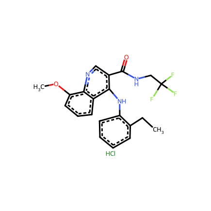 CCc1ccccc1Nc1c(C(=O)NCC(F)(F)F)cnc2c(OC)cccc12.Cl